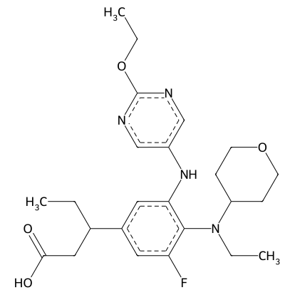 CCOc1ncc(Nc2cc(C(CC)CC(=O)O)cc(F)c2N(CC)C2CCOCC2)cn1